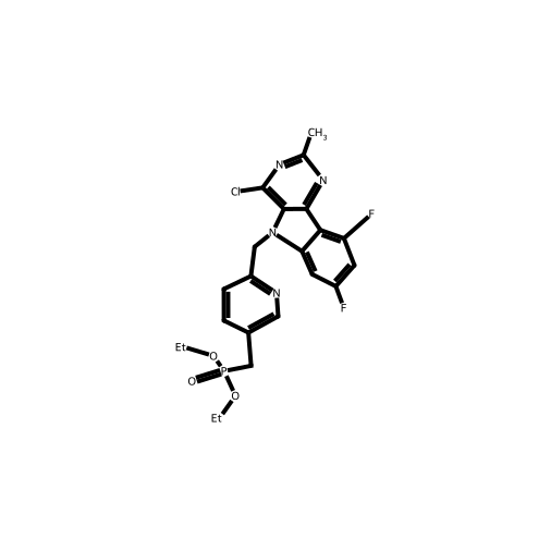 CCOP(=O)(Cc1ccc(Cn2c3cc(F)cc(F)c3c3nc(C)nc(Cl)c32)nc1)OCC